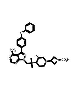 CC(C)(Cn1nc(-c2ccc(Oc3ccccc3)cc2)c2c(N)ncnc21)[C@@H]1CCN(C2CN(C(=O)O)C2)C[C@@H]1F